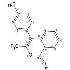 CC(C)(C)c1ccc(-c2c(C(F)(F)F)oc(=O)c3ccccc23)cc1